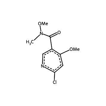 COc1cc(Cl)ncc1C(=O)N(C)OC